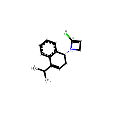 CC(C)C1=CC[C@@H](N2CC=C2Cl)c2ccccc21